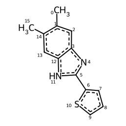 Cc1cc2nc(-c3cccs3)[nH]c2cc1C